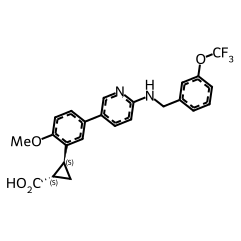 COc1ccc(-c2ccc(NCc3cccc(OC(F)(F)F)c3)nc2)cc1[C@H]1C[C@@H]1C(=O)O